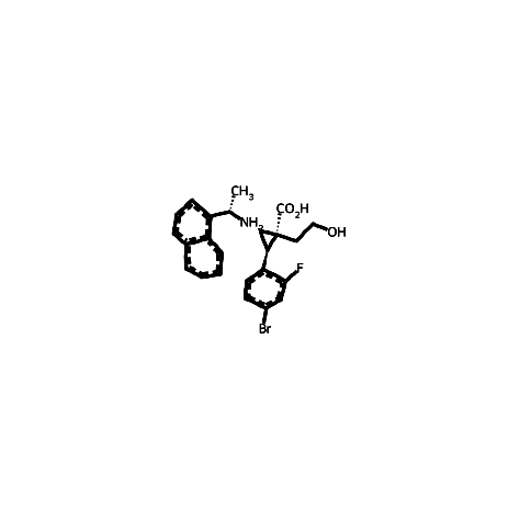 C[C@H](N)c1cccc2ccccc12.O=C(O)[C@@]1(CCO)C[C@@H]1c1ccc(Br)cc1F